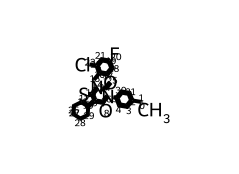 CCc1ccc(-n2c(=O)c3c4c(sc3n(Cc3ccc(F)cc3Cl)c2=O)CCCC4)cc1